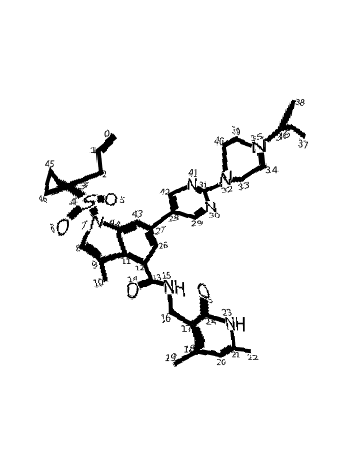 C=CCC1(S(=O)(=O)n2cc(C)c3c(C(=O)NCc4c(C)cc(C)[nH]c4=O)cc(-c4cnc(N5CCN(C(C)C)CC5)nc4)cc32)CC1